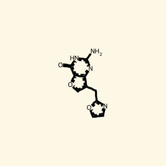 Nc1nc2c(Cc3ncco3)coc2c(=O)[nH]1